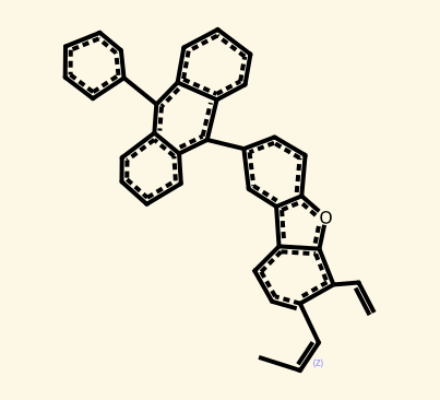 C=Cc1c(/C=C\C)ccc2c1oc1ccc(-c3c4ccccc4c(-c4ccccc4)c4ccccc34)cc12